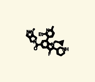 CCc1nc(C)ccc1-c1cc(C(=O)N2Cc3cnn(C)c3C2)cc2c(F)c(C3=CCCNC3)n(CC3CC3)c12